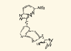 CNc1ccc2nnc(Sc3ccnc4ccc(Sc5nnc[nH]5)cc34)n2n1